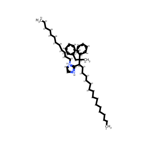 CCCCCCCCCCCCCCCCC(c1nccn1CCCCCCCCCCCC)C(C)(Cc1ccccc1)c1ccccc1